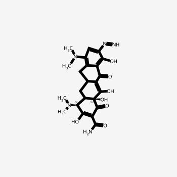 CN(C)c1cc(N=N)c(O)c2c1CC1CC3[C@H](N(C)C)C(O)=C(C(N)=O)C(=O)[C@@]3(O)C(O)=C1C2=O